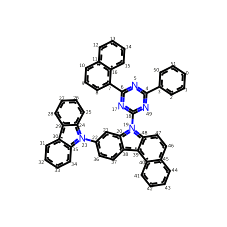 c1ccc(-c2nc(-c3cccc4ccccc34)nc(-n3c4cc(-n5c6ccccc6c6ccccc65)ccc4c4c5ccccc5ccc43)n2)cc1